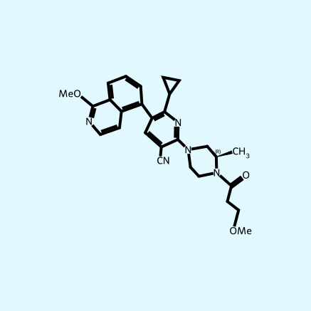 COCCC(=O)N1CCN(c2nc(C3CC3)c(-c3cccc4c(OC)nccc34)cc2C#N)C[C@H]1C